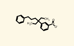 CCC(CC)(CCCc1ccccc1)c1cccc([N+](=O)[O-])c1